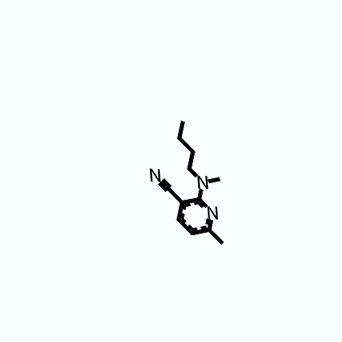 CCCCN(C)c1nc(C)ccc1C#N